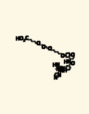 CN(C(=N)CNc1cccc(C(=O)N[C@@H]2CCOc3ccc(OCCCCCCOCCOCCOCCCCCC(=O)O)cc32)c1)C(=N)c1ccncn1